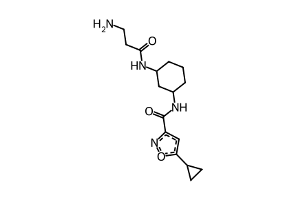 NCCC(=O)NC1CCCC(NC(=O)c2cc(C3CC3)on2)C1